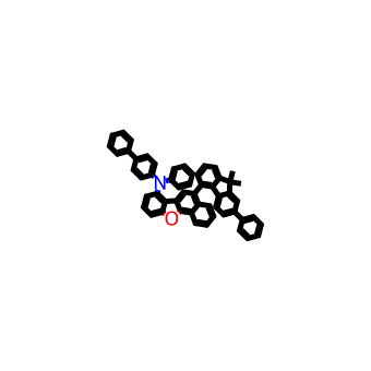 CC1(C)c2cc(-c3ccccc3)ccc2-c2c(-c3cc4c(oc5cccc(N(c6ccccc6)c6ccc(-c7ccccc7)cc6)c54)c4ccccc34)cccc21